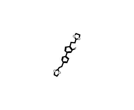 Fc1cc(-c2ccc(CCC3OCCO3)cc2)ccc1CCC1OCCO1